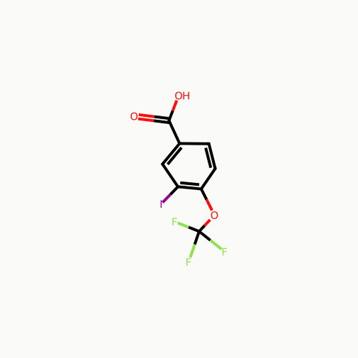 O=C(O)c1ccc(OC(F)(F)F)c(I)c1